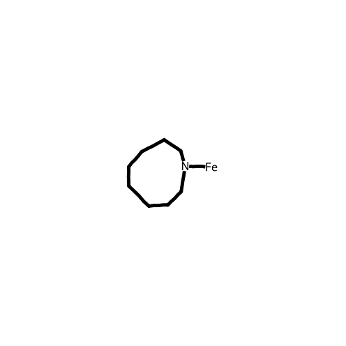 [Fe][N]1CCCCCCCC1